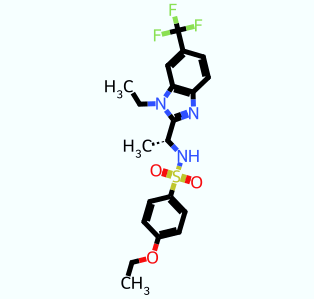 CCOc1ccc(S(=O)(=O)N[C@H](C)c2nc3ccc(C(F)(F)F)cc3n2CC)cc1